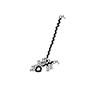 CCCCCCCCCCCCCCCCCCCCCCCCNC(=O)NC(CNC1C/C=C\CC(O)C(O)C1O)C(O)CC(O)CC